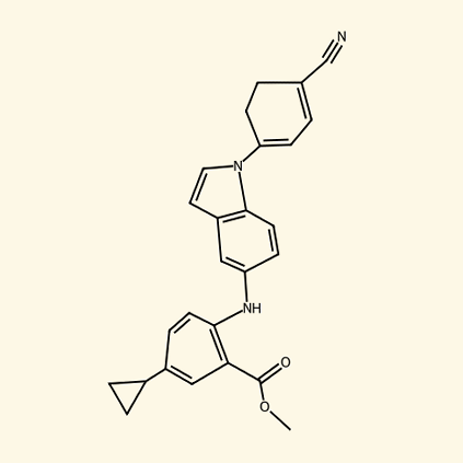 COC(=O)c1cc(C2CC2)ccc1Nc1ccc2c(ccn2C2=CC=C(C#N)CC2)c1